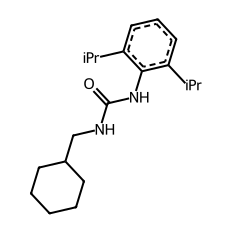 CC(C)c1cccc(C(C)C)c1NC(=O)NCC1CCCCC1